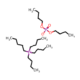 CCCCC[P+](CCCC)(CCCC)CCCC.CCCCOP(=O)([O-])OCCCC